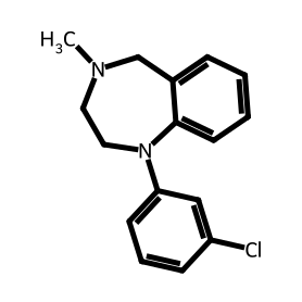 CN1CCN(c2cccc(Cl)c2)c2ccccc2C1